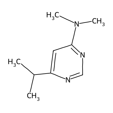 CC(C)c1cc(N(C)C)ncn1